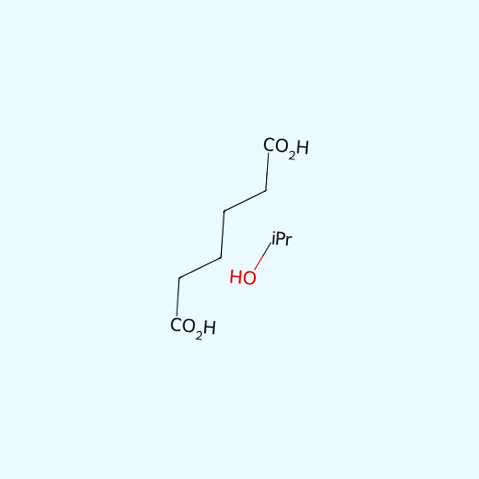 CC(C)O.O=C(O)CCCCC(=O)O